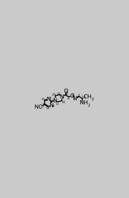 C[C@H](N)/C=N/OCC(=O)N1CCN(c2ncc(C#N)cn2)CC1